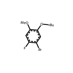 CCCCOc1cc(Br)c(F)cc1OC